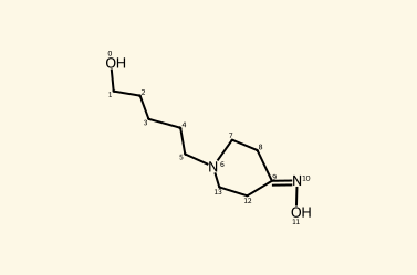 OCCCCCN1CCC(=NO)CC1